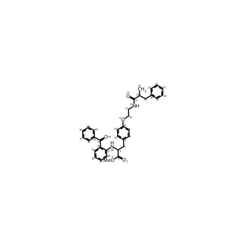 COC(=O)C(Cc1ccc(OCCNC(=O)C(C)Cc2ccccc2)cc1)Nc1ccccc1C(=O)c1ccccc1